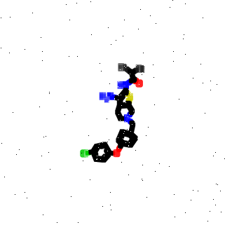 CCC(CC)C(=O)Nc1sc2c(c1N)CCN(Cc1ccc(Oc3ccc(Cl)cc3)cc1)C2